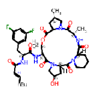 CCCC/C=C/C(=O)N[C@@H](Cc1cc(F)cc(F)c1)C(=O)N[C@@H]1C(=O)N2C[C@H](O)C[C@H]2C(=O)N2CCCC[C@H]2C(=O)N[C@@H](C)C(=O)N2C[C@@H](C)CC2C(=O)O[C@H]1C